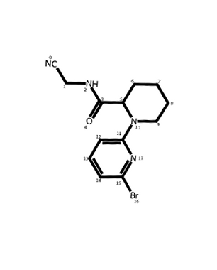 N#CCNC(=O)C1CCCCN1c1cccc(Br)n1